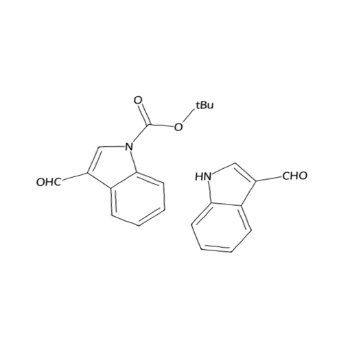 CC(C)(C)OC(=O)n1cc(C=O)c2ccccc21.O=Cc1c[nH]c2ccccc12